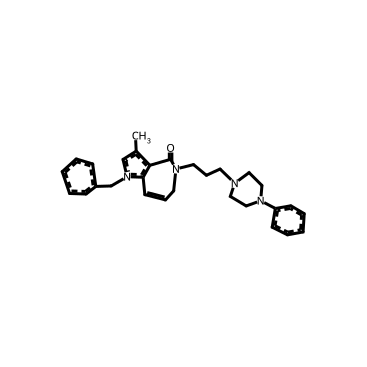 Cc1cn(Cc2ccccc2)c2c1C(=O)N(CCCN1CCN(c3ccccc3)CC1)CC=C2